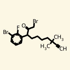 C#CC(C)(C)CCCCC(C(=O)CBr)c1cccc(Br)c1F